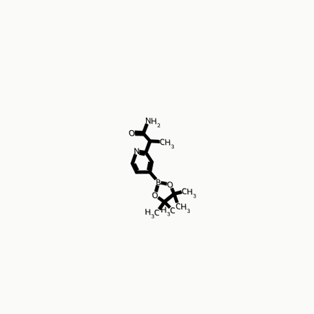 CC(C(N)=O)c1cc(B2OC(C)(C)C(C)(C)O2)ccn1